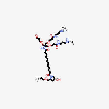 CCCOCC1C[C@@H](O)CN1C(=O)CCCCCCCCCCC(=O)NC(COCCC=O)(COCCC(=O)NCCCNC)COCCC(=O)NCCCNC